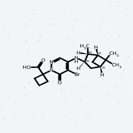 C[C@@H]1[C@H]2C[C@@H](C[C@H]1Nc1cnn(C3(C(=O)O)CCC3)c(=O)c1Br)C2(C)C